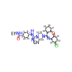 CCNC(=O)c1ccc(N/C(=N/C#N)N2CCN(C3=Nc4cc(Cl)ccc4Oc4ccccc43)CC2)cc1